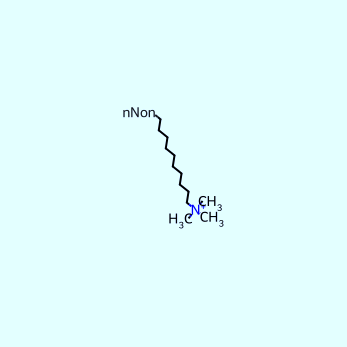 CCCCCCCCCCCCCCCCCCC[N+](C)(C)C